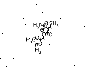 CCN(C(=O)OCC(OC)OC)S(N)(=O)=O